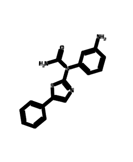 NC(=O)N(c1cccc(N)c1)c1ncc(-c2ccccc2)s1